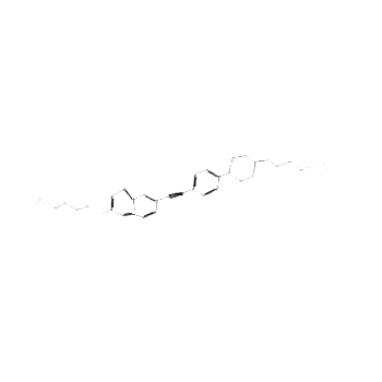 CCCCCOc1ccc2cc(C#Cc3ccc(C4CCC(CCCCC)CC4)cc3)ccc2c1